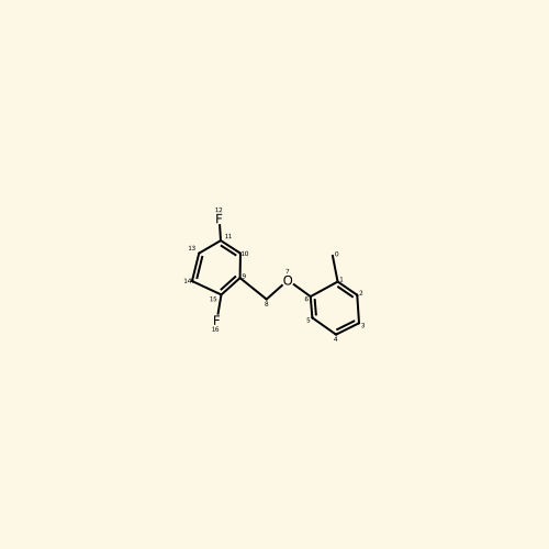 Cc1ccccc1OCc1cc(F)ccc1F